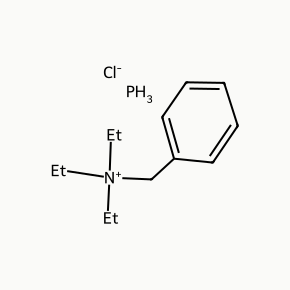 CC[N+](CC)(CC)Cc1ccccc1.P.[Cl-]